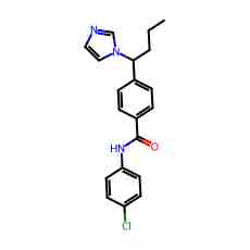 CCCC(c1ccc(C(=O)Nc2ccc(Cl)cc2)cc1)n1ccnc1